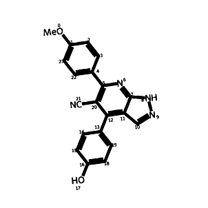 COc1ccc(-c2nc3[nH]ncc3c(-c3ccc(O)cc3)c2C#N)cc1